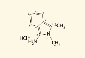 Cc1c2ccccc2c(N)n1C.Cl